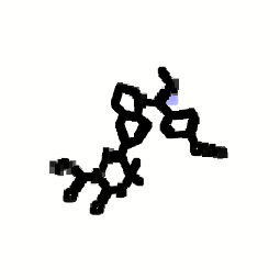 CCCC(=O)N1N=C(c2ccc3c(c2)CCCN3/C(=N\C)c2ccc(OC)cc2)C(C)(C)SC1=O